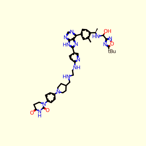 Cc1cc(-c2ncnc3[nH]c(-c4ccc(NCCNCC5CCN(c6ccc(N7CCC(=O)NC7=O)cc6)CC5)nc4)nc23)ccc1[C@@H](C)NC(O)c1noc(C(C)(C)C)n1